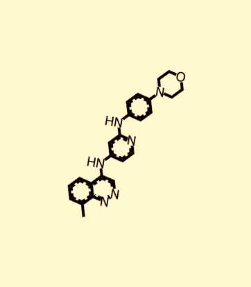 Cc1cccc2c(Nc3ccnc(Nc4ccc(N5CCOCC5)cc4)c3)cnnc12